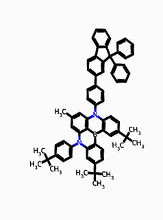 Cc1cc2c3c(c1)N(c1ccc(C(C)(C)C)cc1)c1cc(C(C)(C)C)ccc1B3c1cc(C(C)(C)C)ccc1N2c1ccc(-c2ccc3c(c2)C(c2ccccc2)(c2ccccc2)c2ccccc2-3)cc1